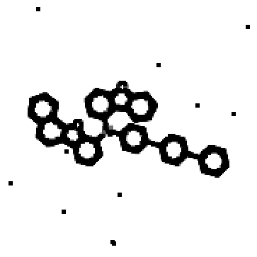 c1ccc(-c2ccc(-c3ccc(N(c4cccc5c4oc4c6ccccc6ccc54)c4cccc5oc6ccccc6c45)cc3)cc2)cc1